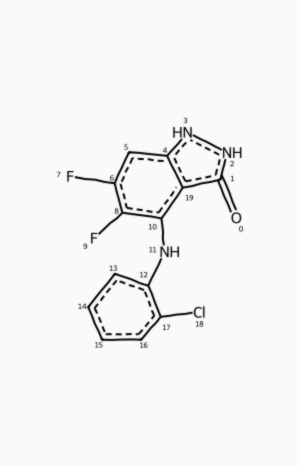 O=c1[nH][nH]c2cc(F)c(F)c(Nc3ccccc3Cl)c12